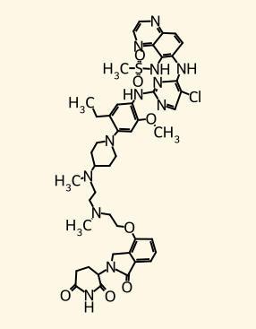 CCc1cc(Nc2ncc(Cl)c(Nc3ccc4nccnc4c3NS(C)(=O)=O)n2)c(OC)cc1N1CCC(N(C)CCN(C)CCOc2cccc3c2CN(C2CCC(=O)NC2=O)C3=O)CC1